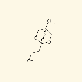 CC12COC(CCO)(OC1)OC2